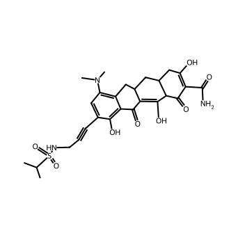 CC(C)S(=O)(=O)NCC#Cc1cc(N(C)C)c2c(c1O)C(=O)C1=C(O)C3C(=O)C(C(N)=O)=C(O)CC3CC1C2